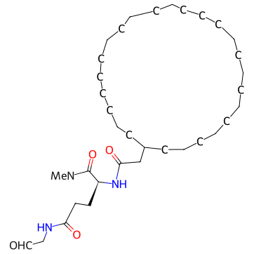 CNC(=O)[C@H](CCC(=O)NCC=O)NC(=O)CC1CCCCCCCCCCCCCCCCCCCCCCCC1